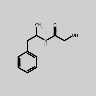 CC(Cc1ccccc1)NC(=O)CO